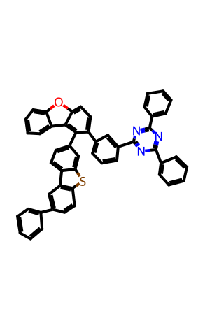 c1ccc(-c2ccc3sc4cc(-c5c(-c6cccc(-c7nc(-c8ccccc8)nc(-c8ccccc8)n7)c6)ccc6oc7ccccc7c56)ccc4c3c2)cc1